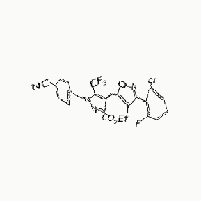 CCOC(=O)c1c(-c2c(F)cccc2Cl)noc1-c1cnn(-c2ccc(C#N)cc2)c1C(F)(F)F